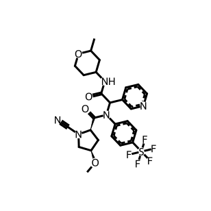 CO[C@@H]1C[C@H](C(=O)N(c2ccc(S(F)(F)(F)(F)F)cc2)C(C(=O)NC2CCOC(C)C2)c2cccnc2)N(C#N)C1